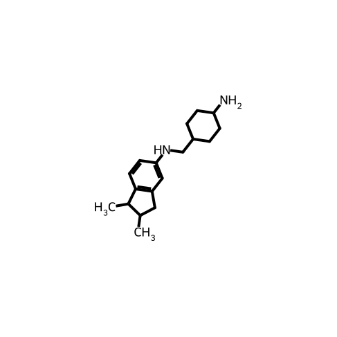 CC1Cc2cc(NCC3CCC(N)CC3)ccc2C1C